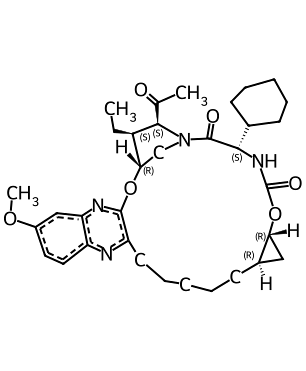 CC[C@@H]1[C@@H]2CN(C(=O)[C@H](C3CCCCC3)NC(=O)O[C@@H]3C[C@H]3CCCCCc3nc4ccc(OC)cc4nc3O2)[C@@H]1C(C)=O